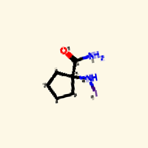 NC(=O)C1(NI)CCCC1